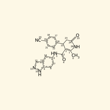 CC1=C(C(=O)Nc2ccc3[nH]ncc3c2)C(c2ccc(C#N)cc2)CC(=O)N1